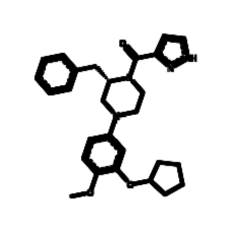 COc1ccc(N2CCN(C(=O)c3cc[nH]n3)[C@@H](Cc3ccccc3)C2)cc1OC1CCCC1